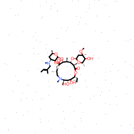 C/C=C(\C)CN(C)[C@H]1C[C@@H](C)O[C@@H](O[C@@H]2[C@@H](C)[C@H](O[C@H]3C[C@@](C)(OC)[C@@H](O)[C@H](C)O3)[C@@H](C)C(=O)O[C@H](CC)[C@@](C)(O)[C@H](O)[C@@H](C)N(C)C[C@H](C)C[C@@]2(C)O)[C@@H]1O